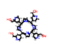 OCc1cc(-c2c3nc(c(-c4ccnc(CO)c4)c4ccc([nH]4)c(-c4ccnc(CO)c4)c4nc(c(-c5ccnc(CO)c5)c5ccc2[nH]5)C=C4)C=C3)ccn1